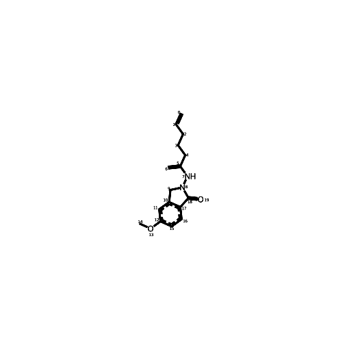 C=CCCCC(=C)NN1Cc2cc(OC)ccc2C1=O